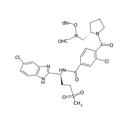 CC(C)(C)ON(C=O)C[C@@H]1CCCN1C(=O)c1ccc(C(=O)N[C@@H](CCS(C)(=O)=O)c2nc3cc(Cl)ccc3[nH]2)cc1Cl